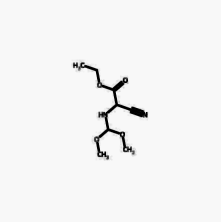 CCOC(=O)C(C#N)NC(OC)OC